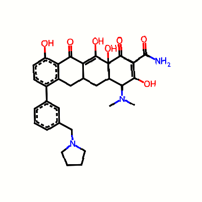 CN(C)C1C(O)=C(C(N)=O)C(=O)C2(O)C(O)=C3C(=O)c4c(O)ccc(-c5cccc(CN6CCCC6)c5)c4CC3CC12